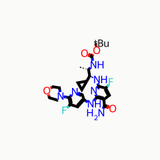 C[C@H](NC(=O)OC(C)(C)C)[C@H](Nc1nc(Nc2cnc(N3CCOCC3)c(F)c2)c(C(N)=O)cc1F)C1CC1